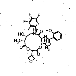 C[C@H]1OC(=O)C(C2COC2)OC(=O)[C@H](C)[C@H](O)[C@H](Cc2c(F)nc(F)c(F)c2F)NC(=O)[C@H]1NC(=O)c1ccccc1O